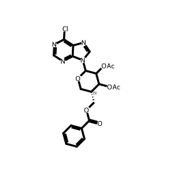 CC(=O)OC1C(OC(C)=O)[C@H](COC(=O)c2ccccc2)COC1n1cnc2c(Cl)ncnc21